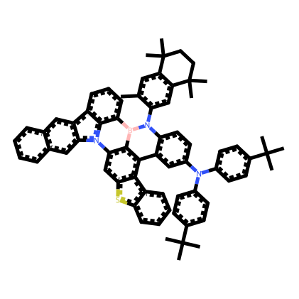 Cc1cc2c(cc1N1B3c4c(cc5sc6ccccc6c5c4-c4cc(N(c5ccc(C(C)(C)C)cc5)c5ccc(C(C)(C)C)cc5)ccc41)-n1c4cc5ccccc5cc4c4cccc3c41)C(C)(C)CCC2(C)C